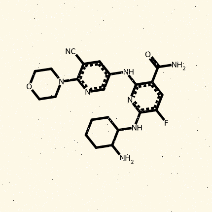 N#Cc1cc(Nc2nc(NC3CCCCC3N)c(F)cc2C(N)=O)cnc1N1CCOCC1